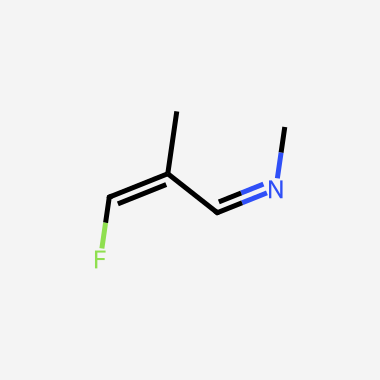 C/N=C\C(C)=C/F